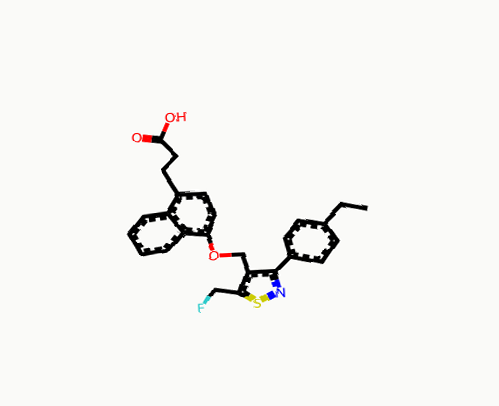 CCc1ccc(-c2nsc(CF)c2COc2ccc(CCC(=O)O)c3ccccc23)cc1